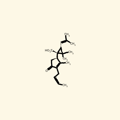 C/C=C\CC1=C(C)[C@H]([C@]2(C(=O)O)[C@H](C=C(C)C)C2(C)C)CC1=O